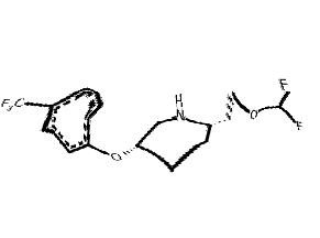 FC(F)OC[C@@H]1CC[C@H](Oc2ccc(C(F)(F)F)cc2)CN1